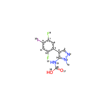 Cn1ncc(-c2cc(F)c(I)cc2F)c1NC(=O)O